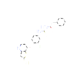 O=C(Cc1ccccc1)NC(=S)Nc1ccc(Oc2ccnc3cc(S)sc23)c(F)c1